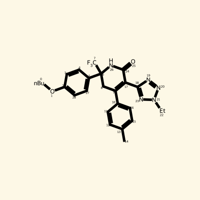 CCCCOc1ccc(C2(C(F)(F)F)CC(c3ccc(C)cc3)=C(c3nnn(CC)n3)C(=O)N2)cc1